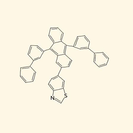 c1ccc(-c2cccc(-c3c4ccccc4c(-c4cccc(-c5ccccc5)c4)c4cc(-c5ccc6ncsc6c5)ccc34)c2)cc1